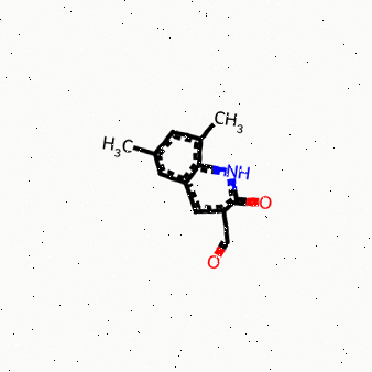 Cc1cc(C)c2[nH]c(=O)c(C=O)cc2c1